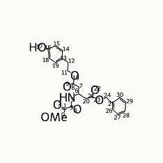 COC(=O)C(=O)NC(CC(=O)OCCc1ccc(O)cc1)CC(=O)OCc1ccccc1